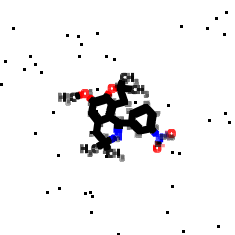 COc1cc2c(c3c1OC(C)(C)C3)C(c1cccc([N+](=O)[O-])c1)=NC(C)(C)C2